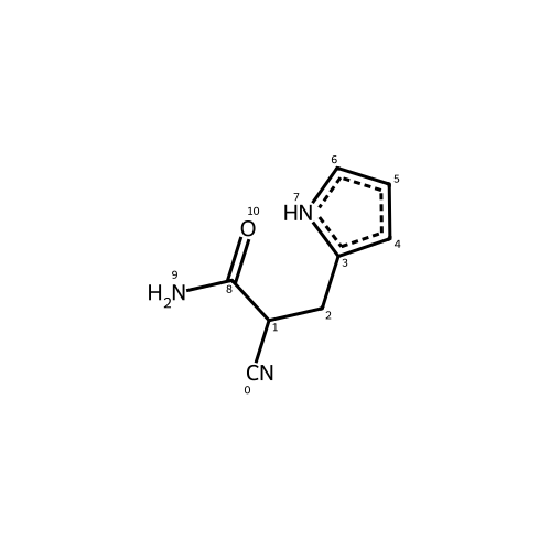 N#CC(Cc1ccc[nH]1)C(N)=O